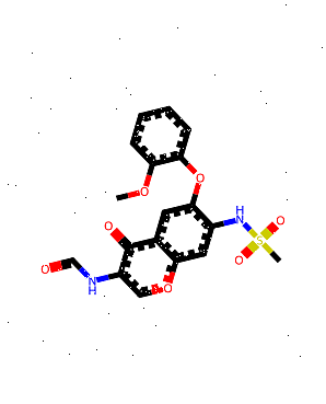 COc1ccccc1Oc1cc2c(=O)c(NC=O)coc2cc1NS(C)(=O)=O